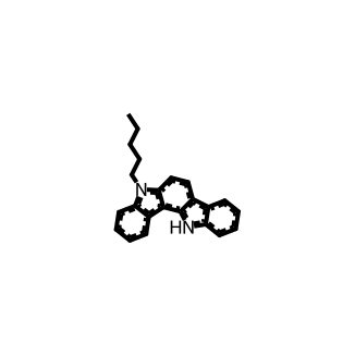 CCCCCn1c2ccccc2c2c3[nH]c4ccccc4c3ccc21